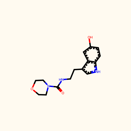 O=C(NCCc1c[nH]c2ccc(O)cc12)N1CCOCC1